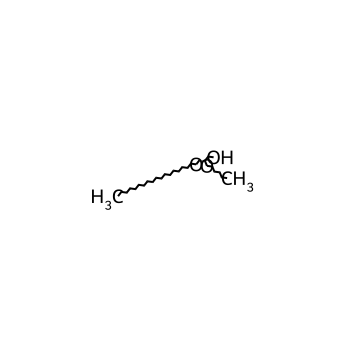 CCCCCCCCCCCCCCCCCCOC[C@H](CO)OCCCCC